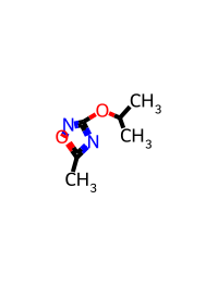 Cc1nc(OC(C)C)no1